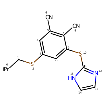 CC(C)CSc1cc(C#N)c(C#N)c(Sc2ncc[nH]2)c1